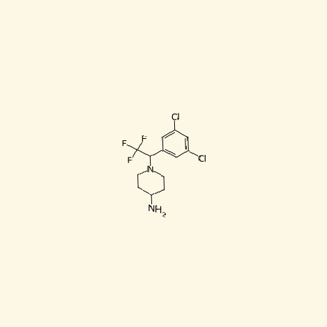 NC1CCN(C(c2cc(Cl)cc(Cl)c2)C(F)(F)F)CC1